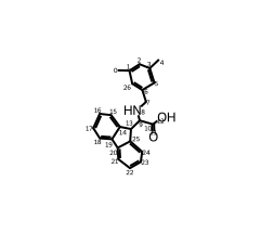 Cc1cc(C)cc(CNC(C(=O)O)C2c3ccccc3-c3ccccc32)c1